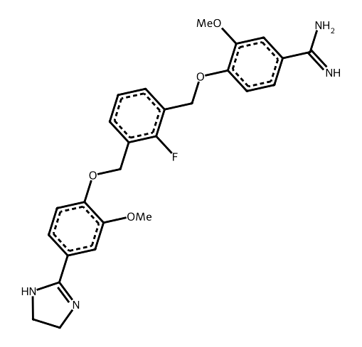 COc1cc(C(=N)N)ccc1OCc1cccc(COc2ccc(C3=NCCN3)cc2OC)c1F